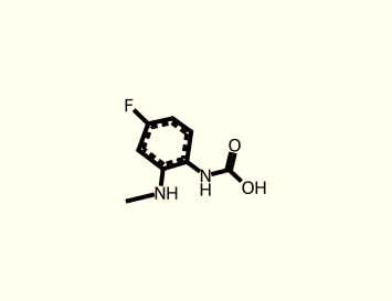 CNc1cc(F)ccc1NC(=O)O